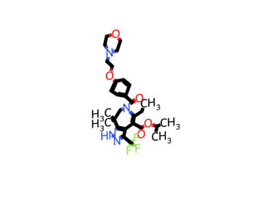 CCC1=C(C(=O)OC(C)C)c2c(C(F)(F)F)n[nH]c2C(C)(C)CN1C(=O)c1ccc(OCCN2CCOCC2)cc1